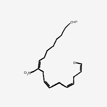 CC/C=C\C/C=C\C/C=C\C/C(=C\CCCCCC[C]=O)[N+](=O)[O-]